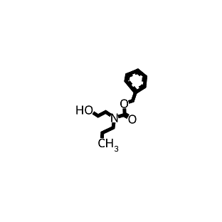 CCCN(CCO)C(=O)OCc1ccccc1